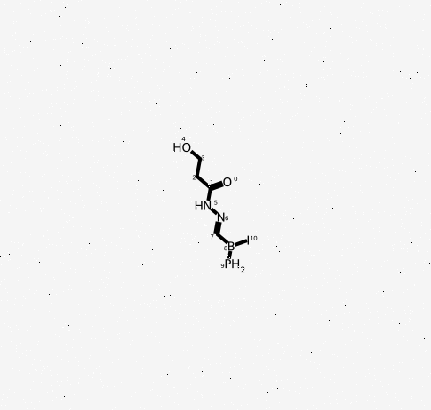 O=C(CCO)NN=CB(P)I